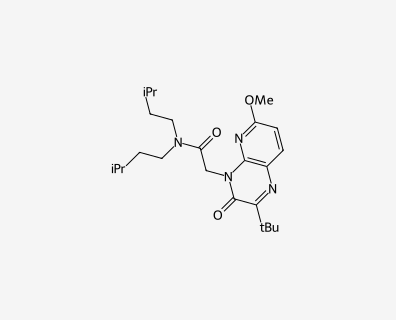 COc1ccc2nc(C(C)(C)C)c(=O)n(CC(=O)N(CCC(C)C)CCC(C)C)c2n1